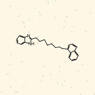 c1ccc2c(CCCCCCCCc3nc4ccccc4[nH]3)cccc2c1